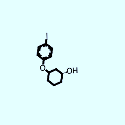 O[C@@H]1CCCC(Oc2ccc(I)cc2)C1